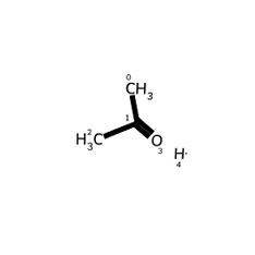 CC(C)=O.[H]